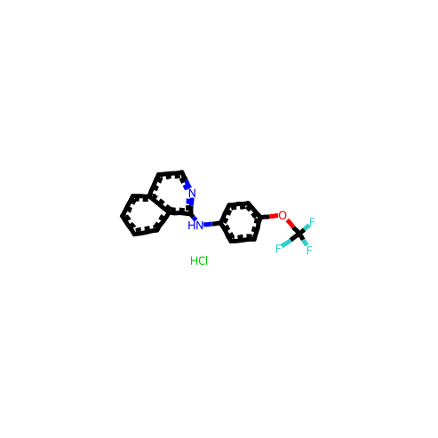 Cl.FC(F)(F)Oc1ccc(Nc2nccc3ccccc23)cc1